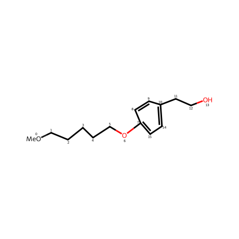 COCCCCCOc1ccc(CCO)cc1